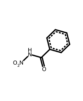 O=C(N[N+](=O)[O-])c1ccccc1